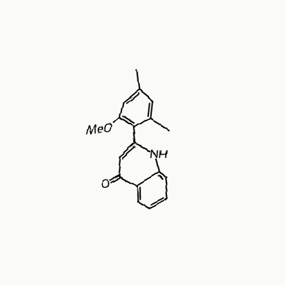 COc1cc(C)cc(C)c1-c1cc(=O)c2ccccc2[nH]1